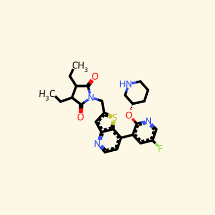 CCC1C(=O)N(Cc2cc3nccc(-c4cc(F)cnc4O[C@H]4CCCNC4)c3s2)C(=O)C1CC